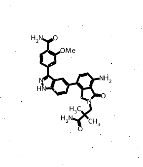 COc1cc(-c2n[nH]c3ccc(-c4ccc(N)c5c4CN(CC(C)(C)C(N)=O)C5=O)cc23)ccc1C(N)=O